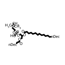 CCCCCCCCCCCCCCCCCCCCCCC(=O)OC(COC(=O)CCCCCCCCCCC)COP(=O)(O)OCC[N+](C)(C)C